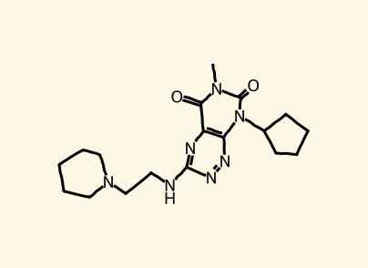 Cn1c(=O)c2nc(NCCN3CCCCC3)nnc2n(C2CCCC2)c1=O